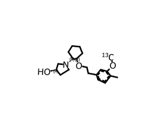 Cc1ccc(CCO[C@@H]2CCCC[C@H]2N2CC[C@@H](O)C2)cc1O[13CH3]